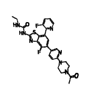 CCNC(=O)Nc1nc2c(F)c(-c3ccc(N4CCN(C(C)=O)CC4)nc3)cc(-c3ncccc3F)c2s1